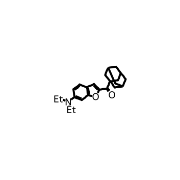 CCN(CC)c1ccc2cc(C(=O)C34CC5CC(CC(C5)C3)C4)oc2c1